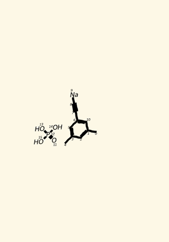 Cc1cc(C)cc(C#[C][Na])c1.O=P(O)(O)O